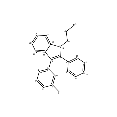 Cc1cccc(-c2c(-c3ccncc3)n(CCF)c3cccnc23)c1